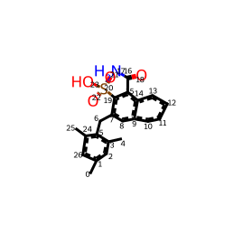 Cc1cc(C)c(Cc2cc3ccccc3c(C(N)=O)c2S(=O)(=O)O)c(C)c1